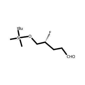 CC(C)(C)[Si](C)(C)OC[C@H](F)CCC=O